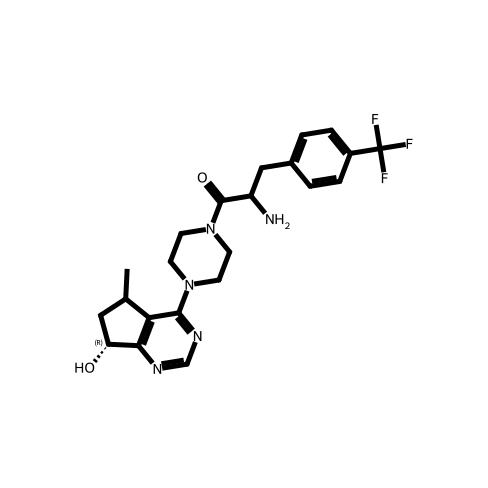 CC1C[C@@H](O)c2ncnc(N3CCN(C(=O)C(N)Cc4ccc(C(F)(F)F)cc4)CC3)c21